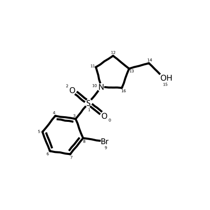 O=S(=O)(c1ccccc1Br)N1CCC(CO)C1